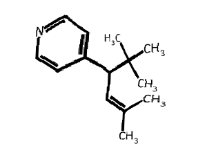 CC(C)=CC(c1ccncc1)C(C)(C)C